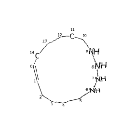 C1=CCCCCNNNNCCCCC1